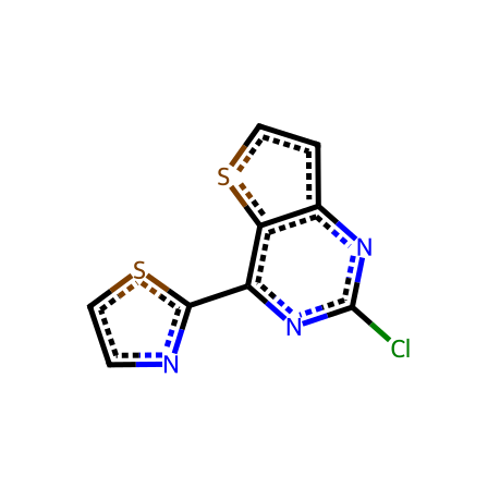 Clc1nc(-c2nccs2)c2sccc2n1